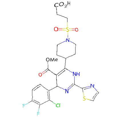 COC(=O)C1=C(C2CCN(S(=O)(=O)CCC(=O)O)CC2)NC(c2nccs2)=NC1c1ccc(F)c(F)c1Cl